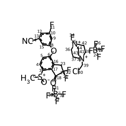 C[S+]([O-])c1ccc(Oc2cc(F)cc(C#N)c2)c2c1C(=O)C(F)(F)C2.F[B-](F)(F)F.F[B-](F)(F)F.F[N+]12CC[N+](CCl)(CC1)CC2